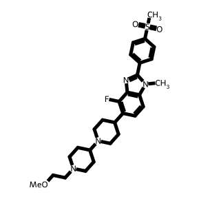 COCCN1CCC(N2CCC(c3ccc4c(nc(-c5ccc(S(C)(=O)=O)cc5)n4C)c3F)CC2)CC1